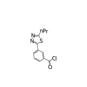 CCCc1nnc(-c2cccc(C(=O)Cl)c2)s1